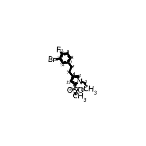 CCn1cc(CCc2ccc(F)c(Br)c2)cc1S(C)(=O)=O